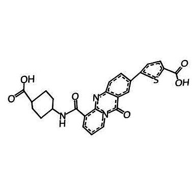 O=C(O)c1ccc(-c2ccc3nc4c(C(=O)NC5CCC(C(=O)O)CC5)cccn4c(=O)c3c2)s1